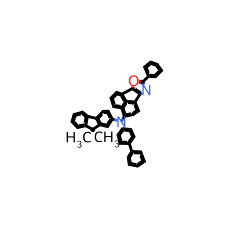 CC1(C)c2ccccc2-c2ccc(N(c3ccc(-c4ccccc4)cc3)c3ccc4c5c(cccc35)-c3oc(-c5ccccc5)nc3-4)cc21